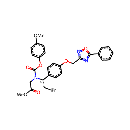 COC(=O)CN(C(=O)Oc1ccc(OC)cc1)[C@@H](CC(C)C)c1ccc(OCc2noc(-c3ccccc3)n2)cc1